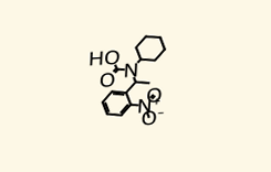 CC(c1ccccc1[N+](=O)[O-])N(C(=O)O)C1CCCCC1